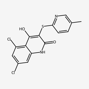 Cc1ccc(Sc2c(O)c3c(Cl)cc(Cl)cc3[nH]c2=O)nc1